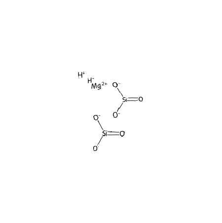 O=[Si]([O-])[O-].O=[Si]([O-])[O-].[H+].[H+].[Mg+2]